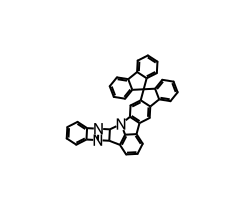 c1ccc2c(c1)-c1ccccc1C21c2ccccc2-c2cc3c4cccc5c4n(c3cc21)C1C5n2c3ccccc3n21